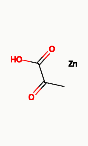 CC(=O)C(=O)O.[Zn]